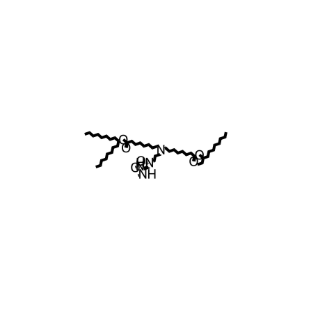 CCCCCCCCC(CC)OC(=O)CCCCCCCN(CCCCCCCC(=O)OC(CCCCCCCC)CCCCCCCC)CCCNC=C(NC)[N+](=O)[O-]